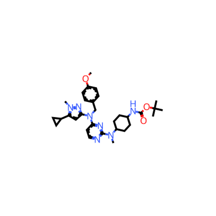 COc1ccc(CN(c2ccnc(N(C)C3CCC(NC(=O)OC(C)(C)C)CC3)n2)c2cc(C3CC3)n(C)n2)cc1